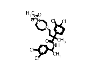 CC(NC(=O)C(C)(CCN1CCCN(S(C)(=O)=O)CC1)c1ccc(Cl)c(Cl)c1)c1ccc(Cl)c(Cl)c1